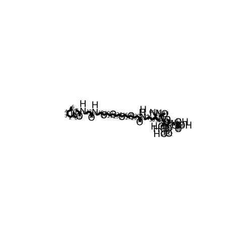 CC1CCCC(C)N1CC(=O)NCCC(=O)NCCOCCOCCOCCOCCC(=O)NCCCc1cn([C@@H]2O[C@H](COP(=O)(O)O)C(OP(=O)(O)O)C2O)c(=O)nc1N